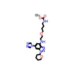 CC(C)(C)OC(=O)NCCCCOCCNc1cc(-n2cnnc2)cc2c1nnn2C1CCCCO1